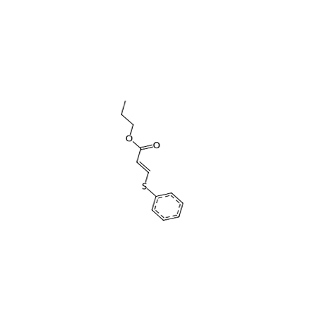 CCCOC(=O)C=CSc1ccccc1